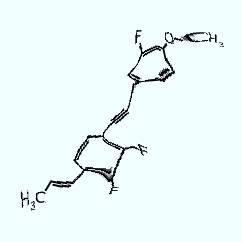 CC=Cc1ccc(C#Cc2ccc(OC)c(F)c2)c(F)c1F